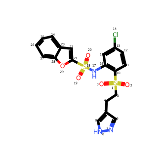 O=S(=O)(CCc1cn[nH]c1)c1ccc(Cl)cc1NS(=O)(=O)c1cc2ccccc2o1